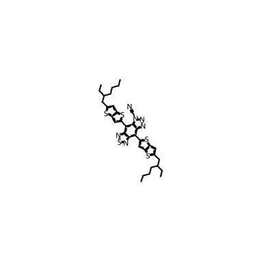 CCCCC(CC)Cc1cc2sc(-c3c4nsnc4c(-c4cc5sc(CC(CC)CCCC)cc5s4)c4c3nnn4C#N)cc2s1